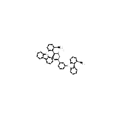 CC1CC(c2cccc(-n3c4ccccc4c4c(C#N)cccc43)c2)=CC=C1c1c(C#N)cccc1-n1c2ccccc2c2ccccc21